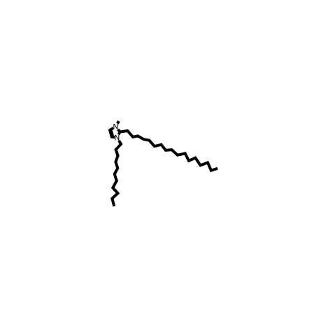 CCCCCCCCCCCCCCCCCC1N(C)C=CN1CCCCCCCCCCC